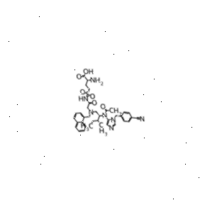 CC[C@H](C)[C@@H](CN(CC(=O)NS(=O)(=O)CC[C@H](N)C(=O)O)Cc1cccc2ccccc12)N(C(C)=O)c1cncn1Cc1ccc(C#N)cc1